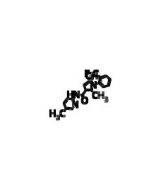 Cc1ccc(NC(=O)c2cc(C)n(-c3ccccc3C(F)(F)F)c2C)nc1